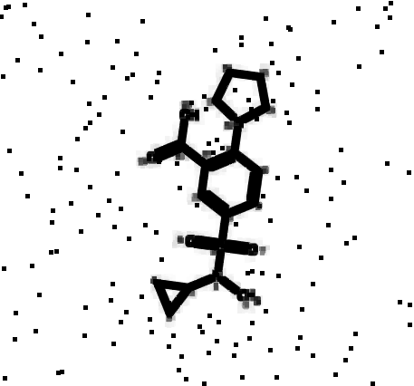 CN(C1CC1)S(=O)(=O)c1ccc(N2CCCC2)c(C(=O)O)c1